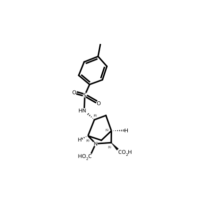 Cc1ccc(S(=O)(=O)N[C@@H]2C[C@@H]3C[C@H]2N(C(=O)O)[C@@H]3C(=O)O)cc1